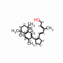 CC(C=CC1=C(c2cc3c(cc2C)C(C)(C)CCC3(C)C)CCC1)=CCO